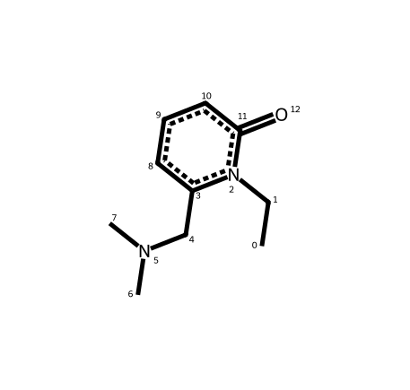 CCn1c(CN(C)C)cccc1=O